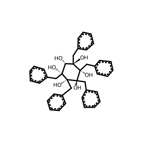 O[C@@H]1[C@](O)(Cc2ccccc2)[C@@](O)(Cc2ccccc2)[C@](O)(Cc2ccccc2)[C@@](O)(Cc2ccccc2)[C@@]1(O)Cc1ccccc1